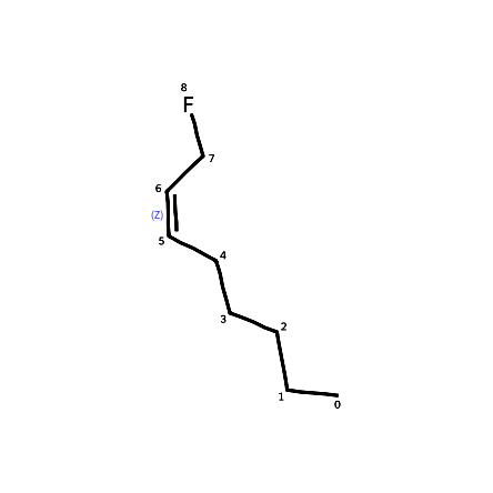 CCCCC/C=C\CF